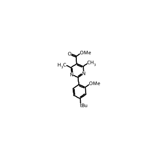 COC(=O)c1c(C)nc(-c2ccc(C(C)(C)C)cc2OC)nc1C